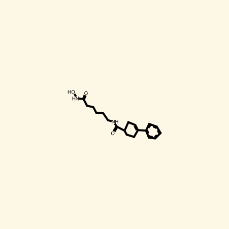 O=C(CCCCCNC(=O)C1CC=C(c2ccccc2)CC1)NO